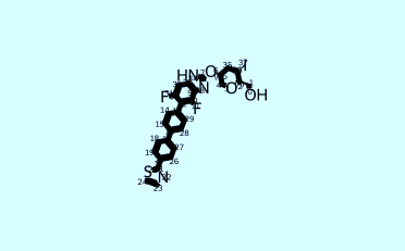 OC[C@H]1OC[C@H](Oc2nc3c(F)c(-c4ccc(-c5ccc(-c6nccs6)cc5)cc4)c(F)cc3[nH]2)C[C@@H]1I